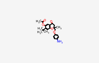 CC(=O)Oc1cc2c(cc1C(C)(C)C)OC(C)(COc1ccc(N)cc1)CC2=O